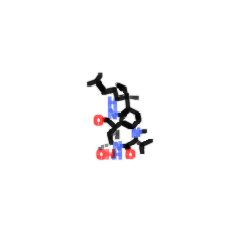 C=C[C@@](C)(CCC=C(C)C)c1ccc2c3c1NC(=O)[C@@H]3C[C@@H](CO)NC(=O)[C@H](C(C)C)N2C